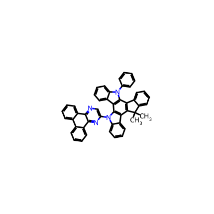 CC1(C)c2ccccc2-c2c1c1c3ccccc3n(-c3cnc4c5ccccc5c5ccccc5c4n3)c1c1c3ccccc3n(-c3ccccc3)c21